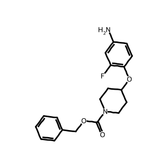 Nc1ccc(OC2CCN(C(=O)OCc3ccccc3)CC2)c(F)c1